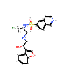 C[C@H](CNCC(O)c1coc2ccccc12)NS(=O)(=O)c1ccc2cnccc2c1.Cl